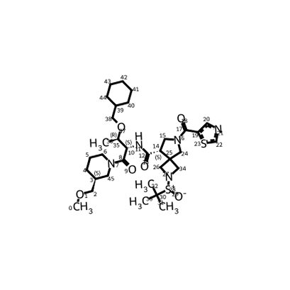 COC[C@H]1CCCN(C(=O)[C@@H](NC(=O)[C@@H]2CN(C(=O)c3cncs3)CC23CN([S+]([O-])C(C)(C)C)C3)[C@@H](C)OCC2CCCCC2)C1